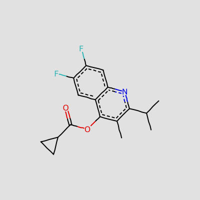 Cc1c(C(C)C)nc2cc(F)c(F)cc2c1OC(=O)C1CC1